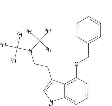 [2H]C([2H])([2H])N(CCc1c[nH]c2cccc(OCc3ccccc3)c12)C([2H])([2H])[2H]